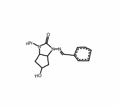 CCCN1C(=O)N(N=Cc2ccccc2)C2CC(O)CC21